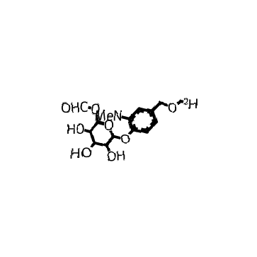 [2H]COCc1ccc(OC2OC(OC=O)C(O)C(O)C2O)c(NC)c1